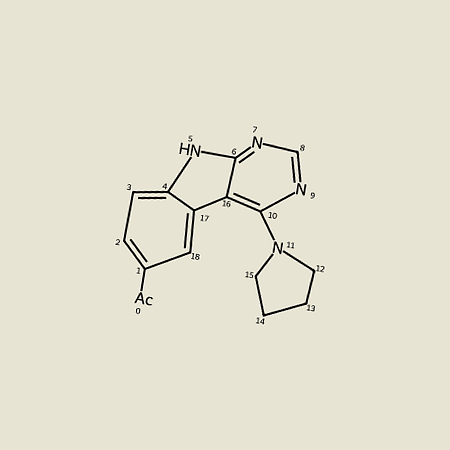 CC(=O)c1ccc2[nH]c3ncnc(N4CCCC4)c3c2c1